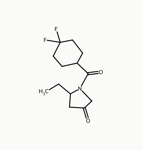 CCC1CC(=O)CN1C(=O)C1CCC(F)(F)CC1